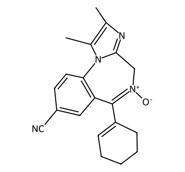 Cc1nc2n(c1C)-c1ccc(C#N)cc1C(C1=CCCCC1)=[N+]([O-])C2